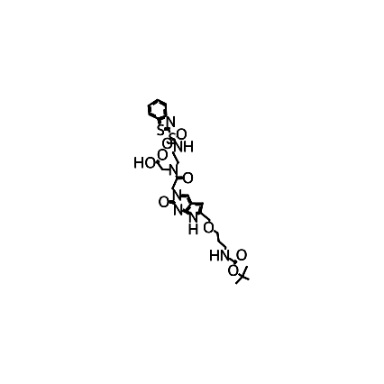 CC(C)(C)OC(=O)NCCCOCc1cc2cn(CC(=O)N(CCNS(=O)(=O)c3nc4ccccc4s3)CC(=O)O)c(=O)nc2[nH]1